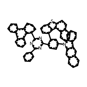 c1ccc(-c2nc(-c3ccc(-n4c5ccccc5c5cc6ccccc6cc54)cc3-c3cccc4sc5ccc6ccccc6c5c34)nc(-c3cccc4c5ccccc5c5ccccc5c34)n2)cc1